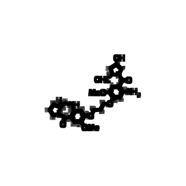 COc1cc(C(=O)N2C[C@H](O)C[C@H]2C=O)c(N)cc1OCCCOc1cc2c(cc1OC)C(=O)N1CCC[C@H]1CN2